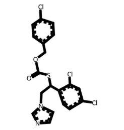 O=C(OCc1ccc(Cl)cc1)SC(Cn1ccnc1)c1ccc(Cl)cc1Cl